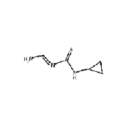 N/C=N/C(=S)NC1CC1